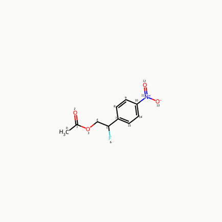 CC(=O)OCC(F)c1ccc([N+](=O)[O-])cc1